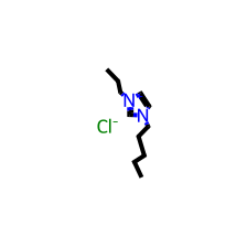 CCCCCn1cc[n+](CCC)c1.[Cl-]